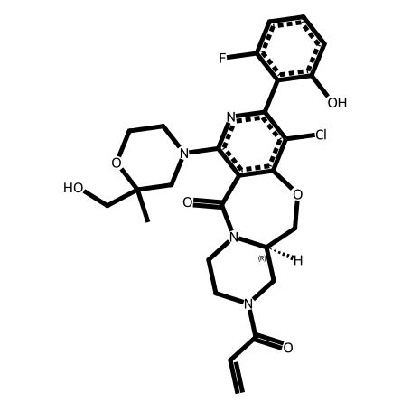 C=CC(=O)N1CCN2C(=O)c3c(N4CCOC(C)(CO)C4)nc(-c4c(O)cccc4F)c(Cl)c3OC[C@H]2C1